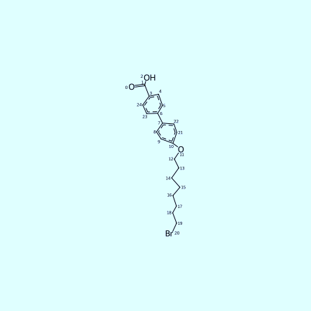 O=C(O)c1ccc(-c2ccc(OCCCCCCCCBr)cc2)cc1